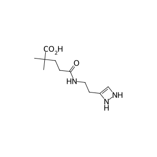 CC(C)(CCC(=O)NCCc1c[nH][nH]1)C(=O)O